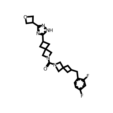 O=C(N1CC2(CC(Cc3ccc(F)cc3F)C2)C1)N1CC2(CC(c3nc(C4COC4)n[nH]3)C2)C1